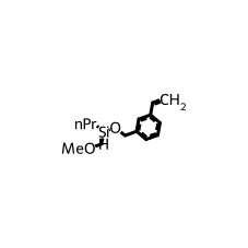 C=Cc1cccc(CO[SiH](CCC)COC)c1